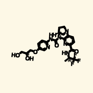 C[C@@H](NC(=O)c1ccc2c(n1)N(C(=O)Nc1ccc(OC[C@@H](O)CO)cn1)[C@H]1CCN2C1)C(F)(F)F